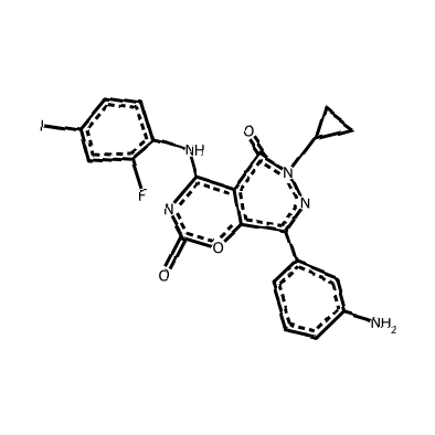 Nc1cccc(-c2nn(C3CC3)c(=O)c3c(Nc4ccc(I)cc4F)nc(=O)oc23)c1